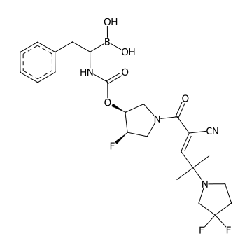 CC(C)(C=C(C#N)C(=O)N1C[C@@H](F)[C@@H](OC(=O)NC(Cc2ccccc2)B(O)O)C1)N1CCC(F)(F)C1